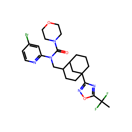 CC(F)(F)c1nc(C23CCCC(C2)C(CN(C(=O)N2CCOCC2)c2cc(Br)ccn2)CC3)no1